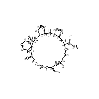 C/C=C1CSCCC(=O)NC2(CCOCC2)C(=O)N[C@@H](CC(C)C)C(=O)N[C@@H]([C@@H](C)CC)C(=O)NC(C(N)=O)CSC/C(C)=N/1